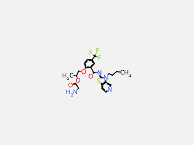 CCCCn1/c(=N/C(=O)c2cc(C(F)(F)F)ccc2OC[C@H](C)OC(=O)CN)sc2ccncc21